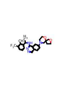 Cc1c(C(C)Nc2nncc3ccc(N4CCOC5(CCOC5)C4)cc23)cccc1C(F)(F)F